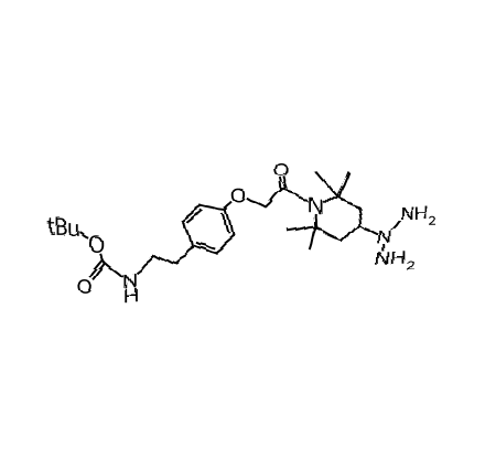 CC(C)(C)OC(=O)NCCc1ccc(OCC(=O)N2C(C)(C)CC(N(N)N)CC2(C)C)cc1